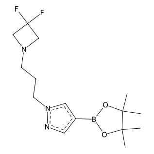 CC1(C)OB(c2cnn(CCCN3CC(F)(F)C3)c2)OC1(C)C